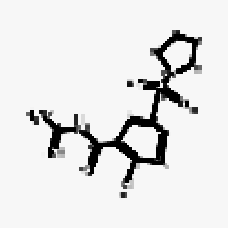 N=C(N)NC(=O)c1cc(S(=O)(=O)N2CCCC2)ccc1Cl